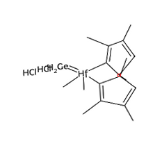 CC1=CC(C)[C]([Hf]([CH3])([CH3])(=[GeH2])[C]2=C(C)C(C)=CC2C)=C1C.Cl.Cl